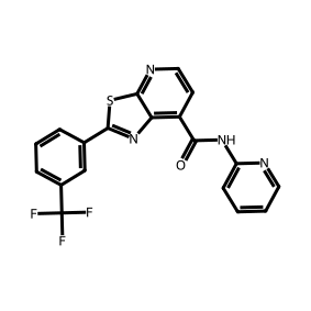 O=C(Nc1ccccn1)c1ccnc2sc(-c3cccc(C(F)(F)F)c3)nc12